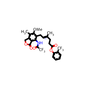 COc1c(C)c2c(c(NC(=O)C(F)(F)F)c1C/C=C(\C)CCC(=O)Oc1ccccc1C(F)(F)F)C(=O)OC2